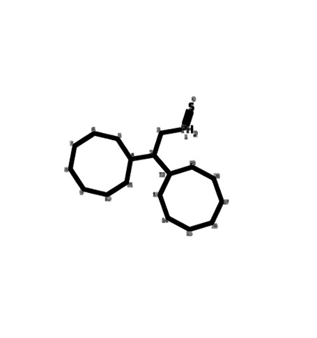 S=[PH2]CC(C1CCCCCCC1)C1CCCCCCC1